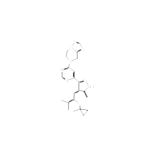 C=c1[nH]nc(-c2cc(N3CCn4ncnc4C3)ncn2)/c1=C/C(OC1(C)CC1)=C(\C)F